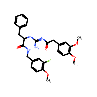 COc1ccc(CNC(=O)C(Cc2ccccc2)NC(N)=NC(=O)Cc2ccc(OC)c(OC)c2)cc1F